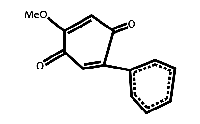 COC1=CC(=O)C(c2ccccc2)=CC1=O